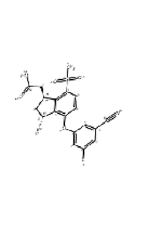 CS(=O)(=O)c1ccc(Oc2cc(F)cc(C#N)c2)c2c1[C@H](CC(=O)O)C[C@H]2Br